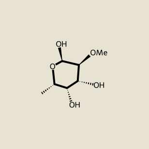 CO[C@H]1[C@H](O)[C@H](O)[C@H](C)O[C@H]1O